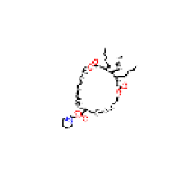 C=C=C=C=C1C(CCCCC)CC(=O)OCCCCCCCCC(C(=O)OCCN2CCCC2)CCCCCCCCOC(=O)CC1CCCCC